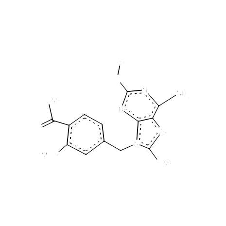 CCOc1nc(N)c2nc(OC)n(Cc3ccc(C(=O)OC)c(OC)c3)c2n1